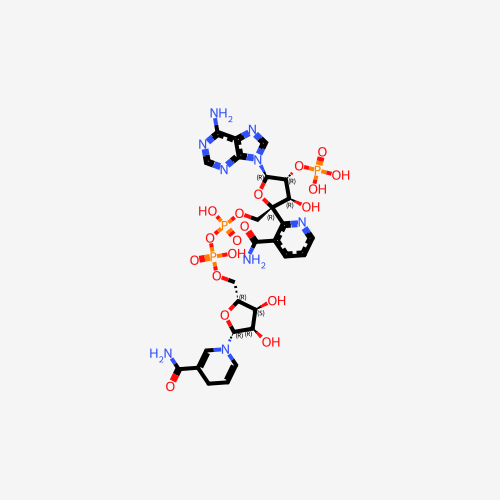 NC(=O)C1=CN([C@@H]2O[C@H](COP(=O)(O)OP(=O)(O)OC[C@@]3(c4ncccc4C(N)=O)O[C@@H](n4cnc5c(N)ncnc54)[C@H](OP(=O)(O)O)[C@H]3O)[C@@H](O)[C@H]2O)C=CC1